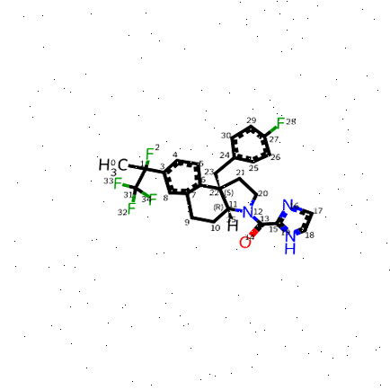 CC(F)(c1ccc2c(c1)CC[C@H]1N(C(=O)c3ncc[nH]3)CC[C@@]21Cc1ccc(F)cc1)C(F)(F)F